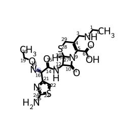 CCNCC1=C(C(=O)O)N2C(=O)C(NC(=O)/C(=N\OCC)c3csc(N)n3)[C@@H]2SC1